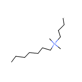 [CH2]CCC[N+](C)(C)CCCCCCC